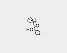 O=C(CC1C2CCC3CC1CC3C2)C(O)c1ccccc1